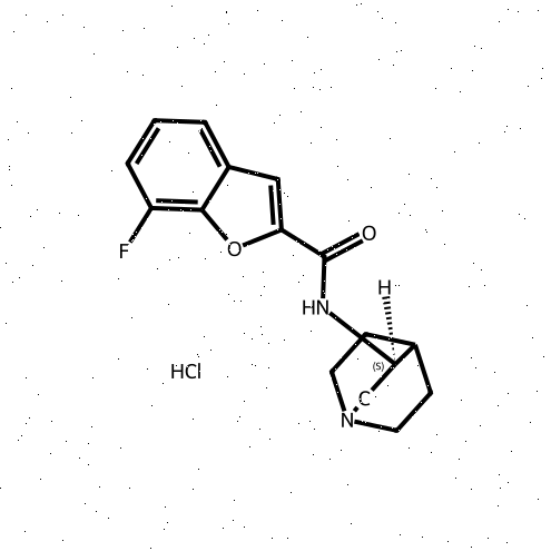 Cl.O=C(N[C@@H]1CN2CCC1CC2)c1cc2cccc(F)c2o1